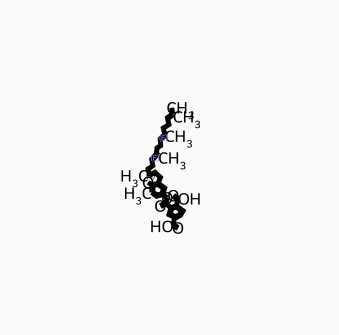 CC(C)=CCC/C(C)=C/CC/C(C)=C/CC[C@]1(C)CCc2cc(OC(=O)c3cc(C(=O)O)ccc3C(=O)O)cc(C)c2O1